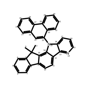 CC1(C)c2ccccc2-c2ccc3c4ncccc4n(-c4cc5ccccc5c5ccccc45)c3c21